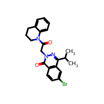 CC(C)c1nn(CC(=O)N2CCCc3ccccc32)c(=O)c2ccc(Br)cc12